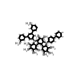 Bc1cccc(-c2cc(-c3cccc(B)c3)cc(-n3c4c(B)c(B)c(B)c(B)c4c4c5c6cc(B)c(B)c(B)c6n(-c6ccc(-c7ccccc7)cc6)c5c(B)c(B)c43)c2)c1